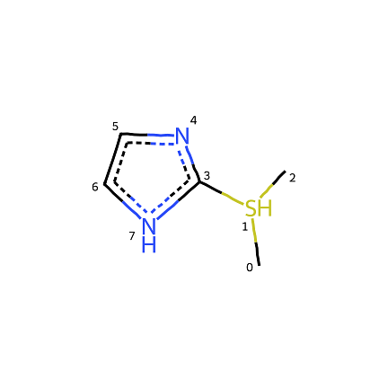 C[SH](C)c1ncc[nH]1